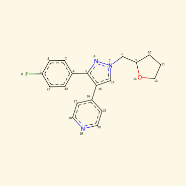 Fc1ccc(-c2nn(CC3CCCO3)cc2-c2ccncc2)cc1